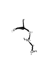 CC(=O)ONCO